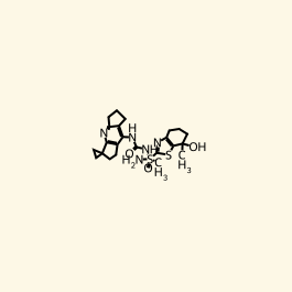 CC1(O)CCCc2nc(S(C)(N)(=O)NC(=O)Nc3c4c(nc5c3CCC53CC3)CCC4)sc21